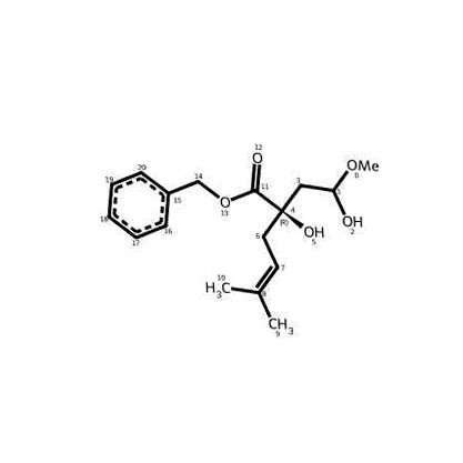 COC(O)C[C@](O)(CC=C(C)C)C(=O)OCc1ccccc1